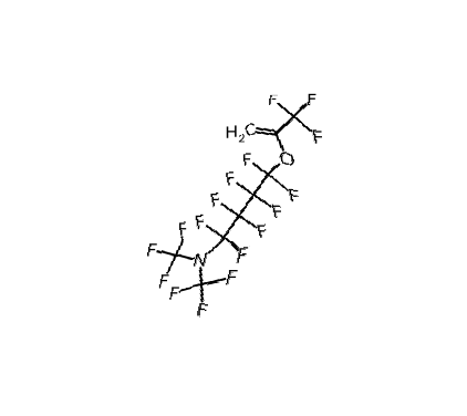 C=C(OC(F)(F)C(F)(F)C(F)(F)C(F)(F)N(C(F)(F)F)C(F)(F)F)C(F)(F)F